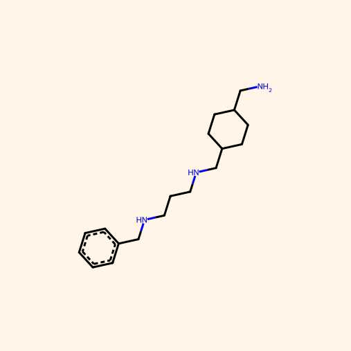 NCC1CCC(CNCCCNCc2ccccc2)CC1